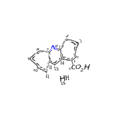 O=C(O)c1cccc2nc3ccccc3cc12.[HH]